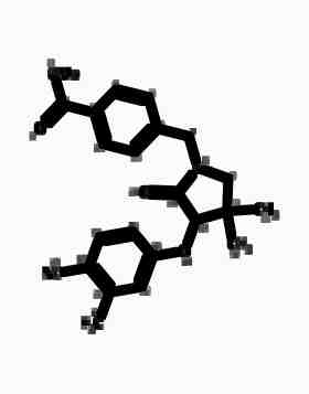 COC(=O)c1ccc(CN2CC(C)(C)C(Oc3ccc(C#N)c(C(F)(F)F)c3)C2=O)cc1